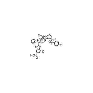 COc1cc(C(=O)O)cc2c1nc(CN1CCN(c3cccc4c3O[C@](C)(c3ccc(Cl)cc3F)O4)[C@@H]3COC[C@@H]31)n2C[C@@H]1CCCO1